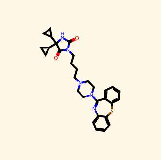 O=C1NC(C2CC2)(C2CC2)C(=O)N1CCCCN1CCN(C2=Nc3ccccc3Sc3ccccc32)CC1